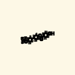 O=C(Oc1ccc(-c2ccc(OC(F)(F)F)cc2)cc1)C1CCC(O)CC1